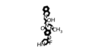 CN1CCN(CC(O)CN2CCc3ccccc3C2)C(=O)c2ccc(OC3CCNCC3F)cc21